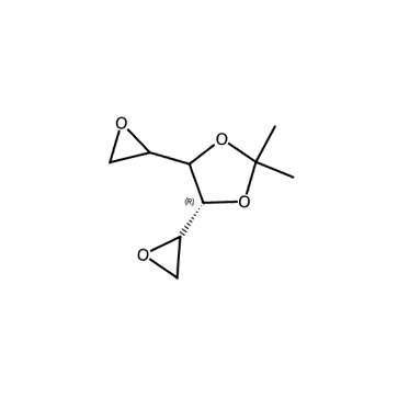 CC1(C)OC(C2CO2)[C@@H](C2CO2)O1